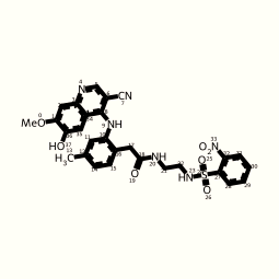 COc1cc2ncc(C#N)c(Nc3cc(C)ccc3CC(=O)NCCNS(=O)(=O)c3ccccc3[N+](=O)[O-])c2cc1O